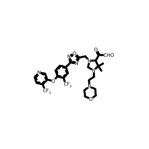 CC1(C)C(C(=O)C=O)N(Cc2nc(-c3ccc(Oc4cnccc4C(F)(F)F)c(C(F)(F)F)c3)no2)CN1CCN1CCOCC1